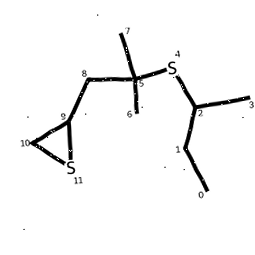 CCC(C)SC(C)(C)CC1CS1